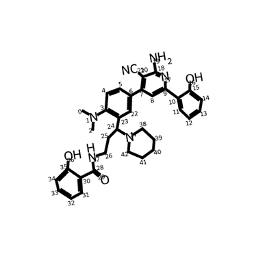 CN(C)c1ccc(-c2cc(-c3ccccc3O)nc(N)c2C#N)cc1C(CCNC(=O)c1ccccc1O)N1CCCCC1